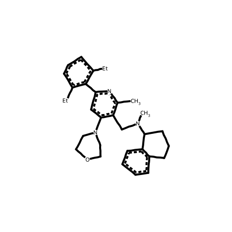 CCc1cccc(CC)c1-c1cc(N2CCOCC2)c(CN(C)C2CCCc3ccccc32)c(C)n1